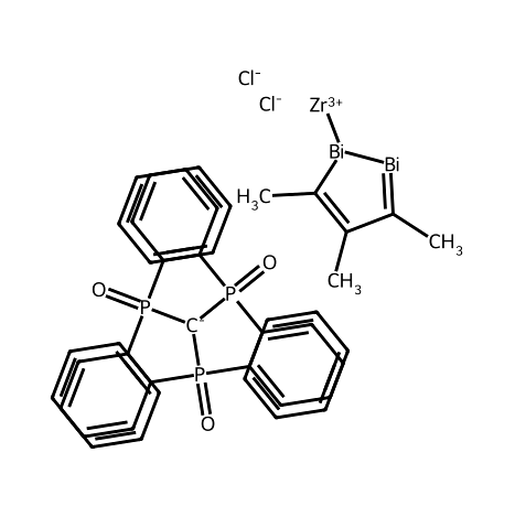 C[C]1=[Bi][Bi]([Zr+3])[C](C)=C1C.O=P(c1ccccc1)(c1ccccc1)[C-](P(=O)(c1ccccc1)c1ccccc1)P(=O)(c1ccccc1)c1ccccc1.[Cl-].[Cl-]